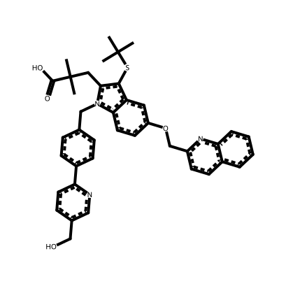 CC(C)(C)Sc1c(CC(C)(C)C(=O)O)n(Cc2ccc(-c3ccc(CO)cn3)cc2)c2ccc(OCc3ccc4ccccc4n3)cc12